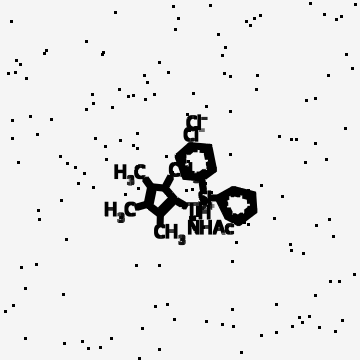 CC(=O)[NH][Ti+2]([C]1=C(C)C(C)=C(C)C1C)[SiH](c1ccccc1)c1ccccc1.[Cl-].[Cl-]